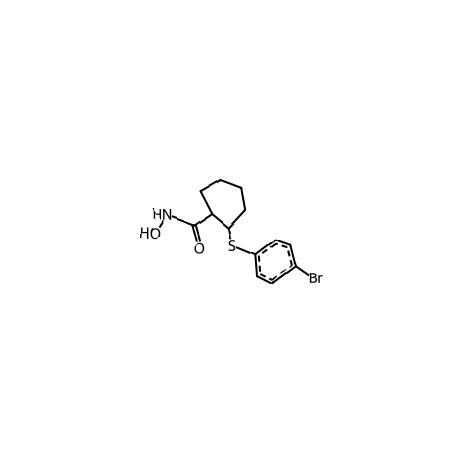 O=C(NO)C1CCCCC1Sc1ccc(Br)cc1